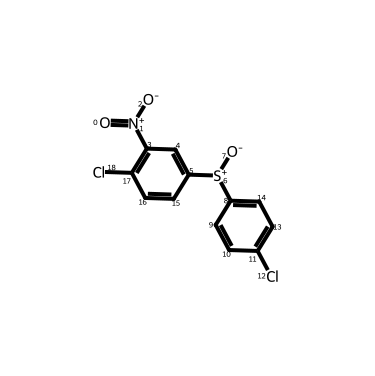 O=[N+]([O-])c1cc([S+]([O-])c2ccc(Cl)cc2)ccc1Cl